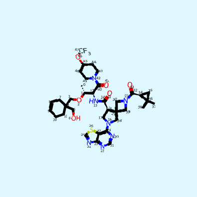 C[C@@H](OCC1(CO)CC=CCC1)[C@@H](NC(=O)[C@@H]1CN(c2ncnc3ncsc23)CC12CN(C(=O)[C@H]1CC1(C)C)C2)C(=O)N1CCC(OC(F)(F)F)CC1